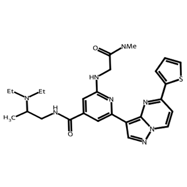 CCN(CC)C(C)CNC(=O)c1cc(NCC(=O)NC)nc(-c2cnn3ccc(-c4cccs4)nc23)c1